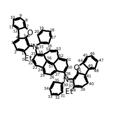 CCc1ccc2c(oc3ccccc32)c1N(c1ccccc1)c1ccc2ccc3c(N(c4ccccc4)c4c(CC)ccc5c4oc4ccccc45)ccc4ccc1c2c43